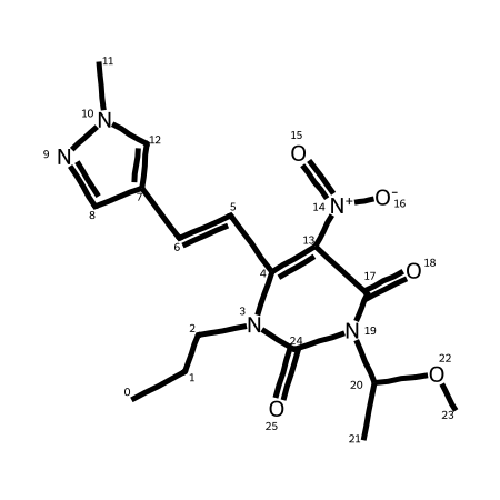 CCCn1c(/C=C/c2cnn(C)c2)c([N+](=O)[O-])c(=O)n(C(C)OC)c1=O